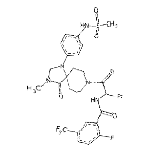 CC(C)C(NC(=O)c1cc(C(F)(F)F)ccc1F)C(=O)N1CCC2(CC1)C(=O)N(C)CN2c1ccc(NS(C)(=O)=O)cc1